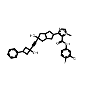 Cn1cnc(C2CC3CC(O)(C#CC4(O)CC(c5ccccc5)C4)CC3C2)c1C(=O)Nc1ccc(F)c(Cl)c1